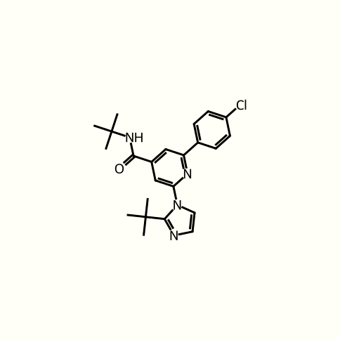 CC(C)(C)NC(=O)c1cc(-c2ccc(Cl)cc2)nc(-n2ccnc2C(C)(C)C)c1